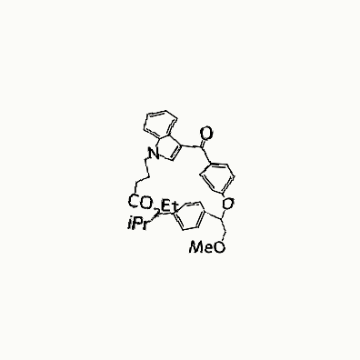 CCOC(=O)CCCn1cc(C(=O)c2ccc(OC(COC)c3ccc(CC(C)C)cc3)cc2)c2ccccc21